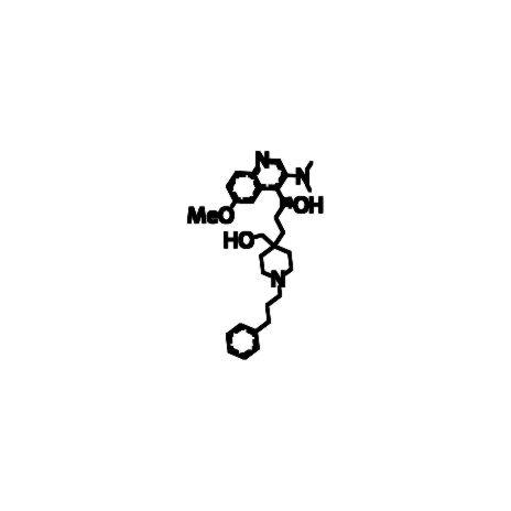 COc1ccc2ncc(N(C)C)c([C@@H](O)CCC3(CO)CCN(CCCc4ccccc4)CC3)c2c1